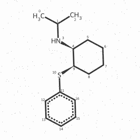 CC(C)N[C@H]1CCCC[C@H]1Sc1ccccc1